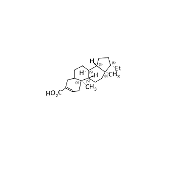 CC[C@H]1CC[C@H]2[C@@H]3CCC4CC(C(=O)O)=CC[C@]4(C)[C@H]3CC[C@]12C